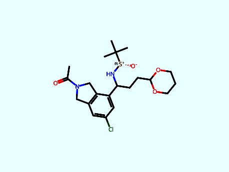 CC(=O)N1Cc2cc(Cl)cc(C(CCC3OCCCO3)N[S@@+]([O-])C(C)(C)C)c2C1